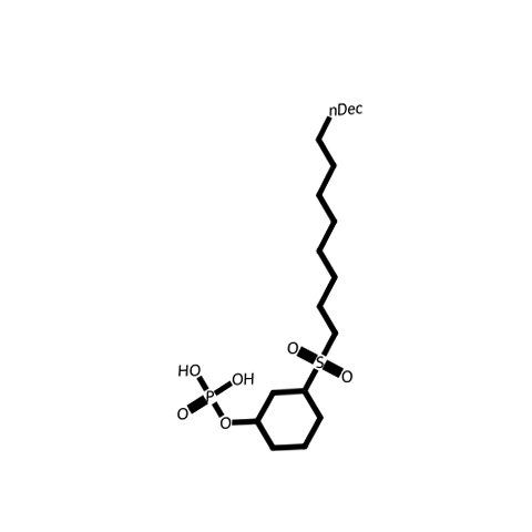 CCCCCCCCCCCCCCCCCCS(=O)(=O)C1CCCC(OP(=O)(O)O)C1